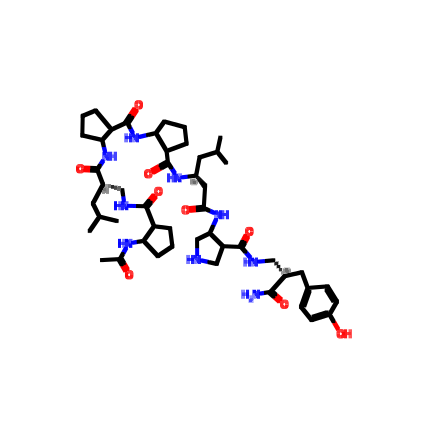 CC(=O)NC1CCCC1C(=O)NC[C@H](CC(C)C)C(=O)NC1CCCC1C(=O)NC1CCCC1C(=O)N[C@H](CC(=O)NC1CNCC1C(=O)NC[C@H](Cc1ccc(O)cc1)C(N)=O)CC(C)C